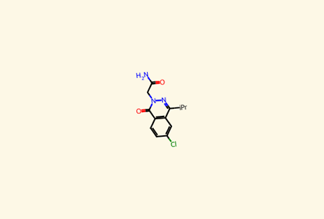 CC(C)c1nn(CC(N)=O)c(=O)c2ccc(Cl)cc12